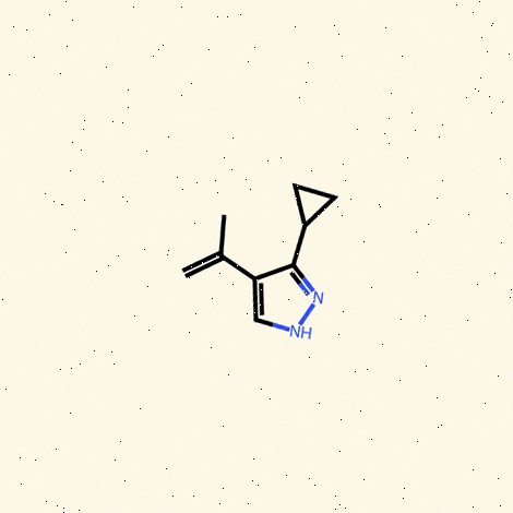 C=C(C)c1c[nH]nc1C1CC1